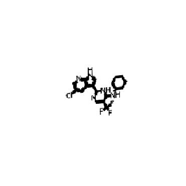 FC(F)(F)C1=CN=C(c2c[nH]c3ncc(Cl)cc23)NC1NC1CCCCC1